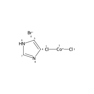 [Br-].[Cl][Co+][Cl].c1c[nH]cn1